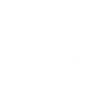 Cc1noc(C)c1-c1cc(Br)c2c(c1)CCO2